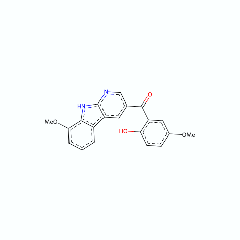 COc1ccc(O)c(C(=O)c2cnc3[nH]c4c(OC)cccc4c3c2)c1